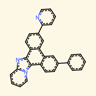 c1ccc(-c2ccc3c(c2)c2cc(-c4ccccn4)ccc2c2nc4ccccn4c32)cc1